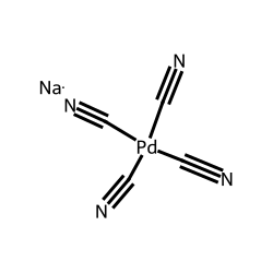 N#[C][Pd]([C]#N)([C]#N)[C]#N.[Na]